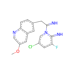 COc1cnc2ccc(CC(=N)n3cc(Cl)cc(F)c3=N)cc2c1